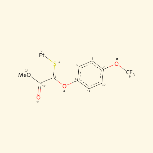 CCSC(Oc1ccc(OC(F)(F)F)cc1)C(=O)OC